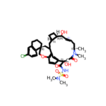 C[C@H]1C/C=C/[C@H](O)[C@@H]2CC[C@H]2CC2C[C@@]3(CCCc4cc(Cl)ccc43)COc3ccc(cc32)[C@](O)(C(=O)NS(=O)(=O)N(C)C)CC(=O)N1C